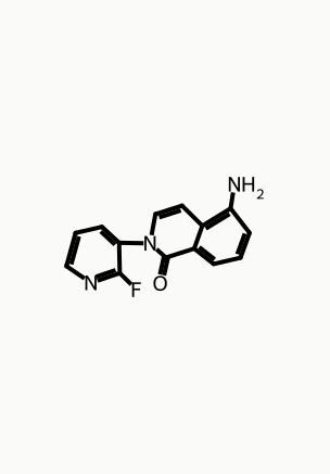 Nc1cccc2c(=O)n(-c3cccnc3F)ccc12